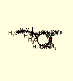 CO[C@H]1C[C@@H]2CC[C@@H](C)[C@@](O)(O2)C(=O)C(=O)N2CCCC[C@H]2C(=O)O[C@H](CC[C@@H]2CC[C@@H](O)[C@H](OC)C2)C[C@@H](O)[C@H](C)/C=C(\C)[C@@H](O)[C@@H](OC)/C(=N/OCC(=O)NCCOCCC(=O)NCc2cnc(N3CCN(C)CC3)nc2)[C@H](C)C[C@H](C)C(C)C/C=C/C=C/1C